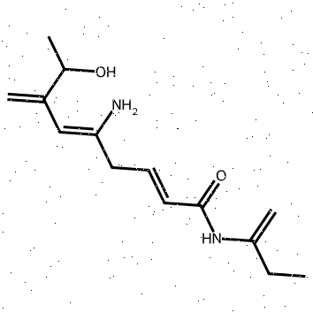 C=C(CC)NC(=O)/C=C/C/C(N)=C/C(=C)C(C)O